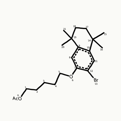 CC(=O)OCCCCCOc1cc2c(cc1Br)C(C)(C)CCC2(C)C